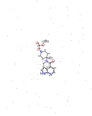 CCC1(N2Cc3c[nH]c4nccc(c34)C2=O)CCN(OC(=O)OC(C)(C)C)CC1